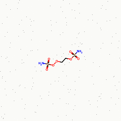 NS(=O)(=O)OCCOOS(N)(=O)=O